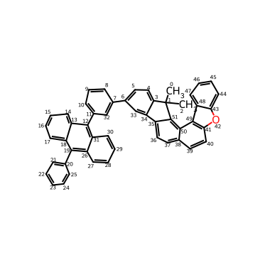 CC1(C)c2ccc(-c3cccc(-c4c5ccccc5c(-c5ccccc5)c5ccccc45)c3)cc2-c2ccc3ccc4oc5ccccc5c4c3c21